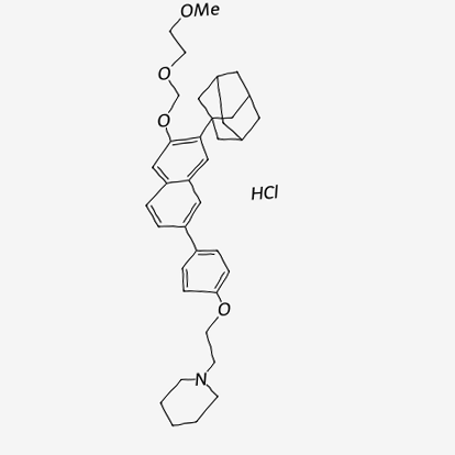 COCCOCOc1cc2ccc(-c3ccc(OCCN4CCCCC4)cc3)cc2cc1C12CC3CC(CC(C3)C1)C2.Cl